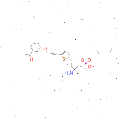 CC(=O)c1cccc(OCC#Cc2ccc(CCC(C)(N)CCP(=O)(O)O)s2)c1